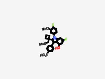 COCC1(c2c(-c3ccc(C(=O)O)cc3)c3c(O)cc(F)cc3n2-c2ccc(F)c(OC)c2)CCC1